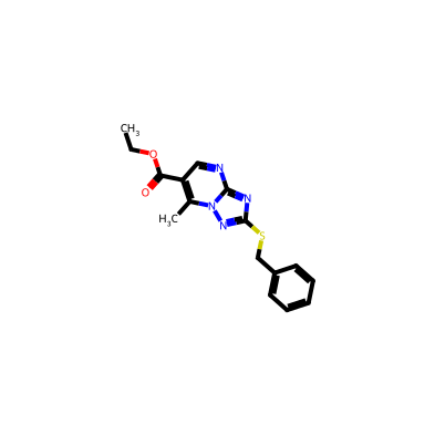 CCOC(=O)c1cnc2nc(SCc3ccccc3)nn2c1C